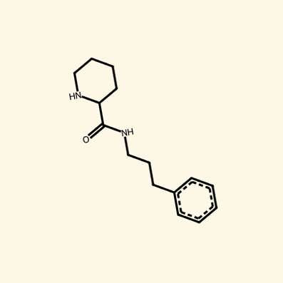 O=C(NCCCc1ccccc1)C1CCCCN1